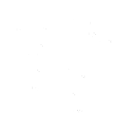 COc1ccc(-c2ccc(C(=O)NC(CO)C(C)(C)C)nc2C(=O)O)c(C(=O)Nc2ccc(C(=N)N)cc2)n1.CS(=O)(=O)O